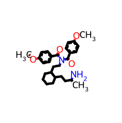 COc1ccc(C(=O)N(CCC2CCCCC2CCC(C)N)C(=O)c2ccc(OC)cc2)cc1